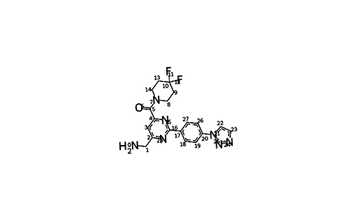 NCc1cc(C(=O)N2CCC(F)(F)CC2)nc(-c2ccc(-n3ccnn3)cc2)n1